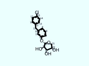 O[C@@H]1[C@@H](O)[C@H](Oc2cccc(Cc3ccc(Cl)cc3)c2)OC[C@H]1O